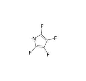 FC1=C(F)C(F)=C(F)[N]1